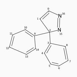 [C]1=CC(c2ccccc2)(c2ccccc2)N=N1